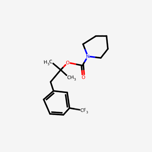 CC(C)(Cc1cccc(C(F)(F)F)c1)OC(=O)N1CCCCC1